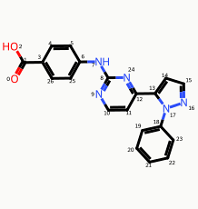 O=C(O)c1ccc(Nc2nccc(-c3ccnn3-c3ccccc3)n2)cc1